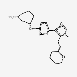 Cc1noc(-c2ccc(OC3CCC[C@H](C(=O)O)C3)cn2)c1COC1CCCCO1